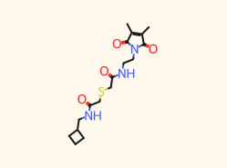 CC1=C(C)C(=O)N(CCNC(=O)CSCC(=O)NCC2CCC2)C1=O